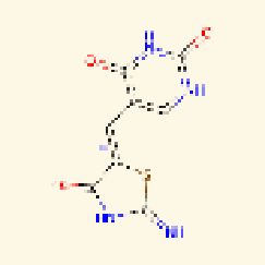 N=C1NC(=O)/C(=C/c2c[nH]c(=O)[nH]c2=O)S1